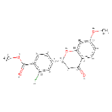 COC(=O)c1ccc([C@H]2CC(=O)c3ccc(OC)cc3O2)cc1F